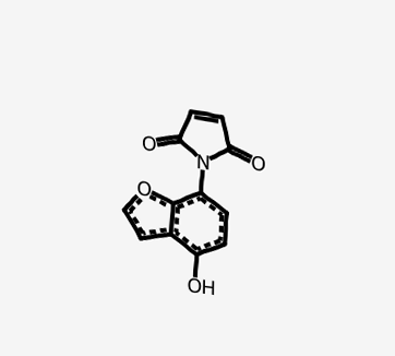 O=C1C=CC(=O)N1c1ccc(O)c2ccoc12